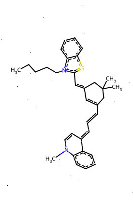 CCCCC[n+]1c(C=C2C=C(C=CC=C3C=CN(C)c4ccccc43)CC(C)(C)C2)sc2ccccc21